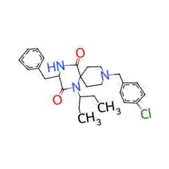 CCC(CC)N1C(=O)C(Cc2ccccc2)NC(=O)C12CCN(Cc1ccc(Cl)cc1)CC2